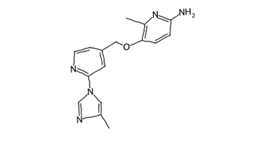 Cc1cn(-c2cc(COc3ccc(N)nc3C)ccn2)cn1